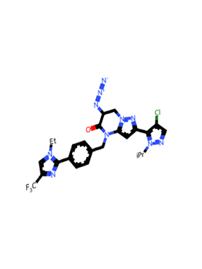 CCn1cc(C(F)(F)F)nc1-c1ccc(CN2C(=O)C(N=[N+]=[N-])Cn3nc(-c4c(Cl)cnn4C(C)C)cc32)cc1